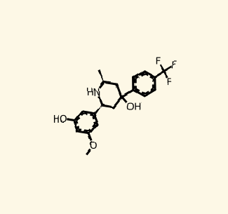 COc1cc(O)cc([C@@H]2CC(O)(c3ccc(C(F)(F)F)cc3)C[C@H](C)N2)c1